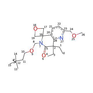 CCC1(CC)C(=O)N(COCC[Si](C)(C)C)C2(COC2)c2ccc(COC)nc21